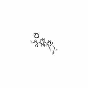 CCN(C(=O)c1cnc(C2=NOC3(CCC(F)(F)CC3)N2)n1C)c1cccnc1